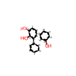 Oc1cccc(-c2ccccc2)c1O.Oc1ccccc1